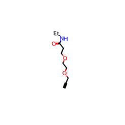 C#CCOCCOCCC(=O)NCC